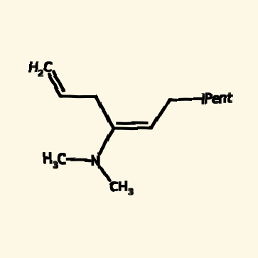 C=CC/C(=C\CC(C)CCC)N(C)C